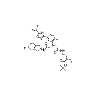 CCN(CCNC(=O)CN(CC(=O)N(C)N1Cc2ccc(F)cc2C1)c1cc(-c2noc(C(F)F)n2)ccc1C)C(=O)OC(C)(C)C